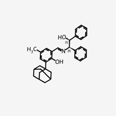 Cc1cc(C=N[C@H](c2ccccc2)[C@@H](O)c2ccccc2)c(O)c(C23CC4CC(CC(C4)C2)C3)c1